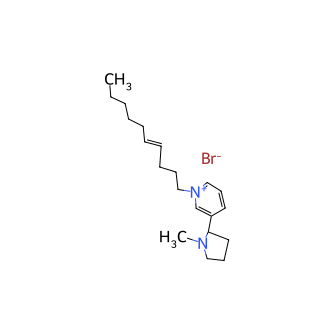 CCCCC/C=C/CCC[n+]1cccc(C2CCCN2C)c1.[Br-]